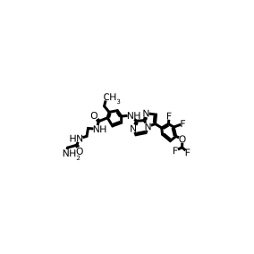 CCc1cc(Nc2nccn3c(-c4ccc(OC(F)F)c(F)c4F)cnc23)ccc1C(=O)NCCNC(=O)CN